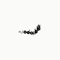 CC1CCC(c2ccc(C3CCC(C(F)(F)Oc4ccc(-c5cc(F)c(OC(F)(F)F)c(F)c5)c(F)c4)CC3)c(F)c2)CC1